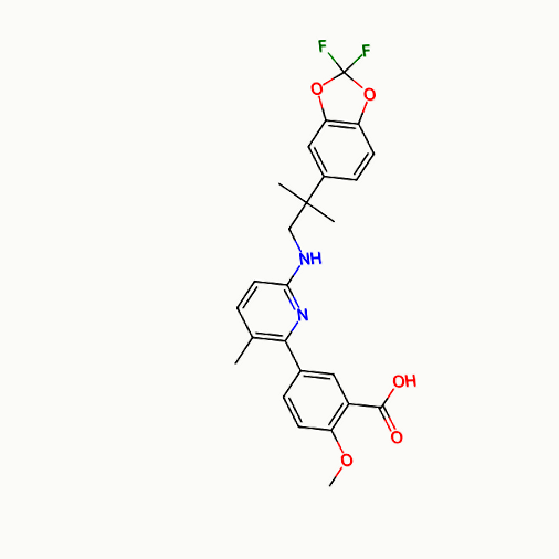 COc1ccc(-c2nc(NCC(C)(C)c3ccc4c(c3)OC(F)(F)O4)ccc2C)cc1C(=O)O